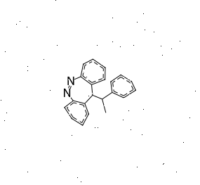 CC(c1ccccc1)C1c2ccccc2N=Nc2ccccc21